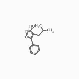 CC(C)Cc1c(O)noc1-c1ccccc1